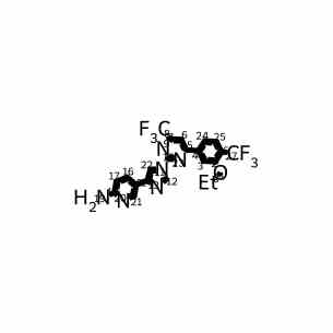 CCOc1cc(-c2cc(C(F)(F)F)nc(-n3cnc(-c4ccc(N)nc4)c3)n2)ccc1C(F)(F)F